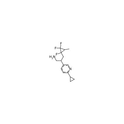 CC1C(F)(F)C1(F)CC(CN)c1ccc(C2CC2)nc1